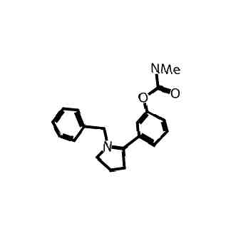 CNC(=O)Oc1cccc(C2CCCN2Cc2ccccc2)c1